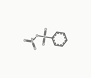 O=[SH](=O)OS(=O)(=O)c1ccccc1